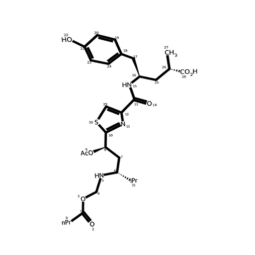 CCCC(=O)OCN[C@H](C[C@@H](OC(C)=O)c1nc(C(=O)N[C@@H](Cc2ccc(O)cc2)C[C@H](C)C(=O)O)cs1)C(C)C